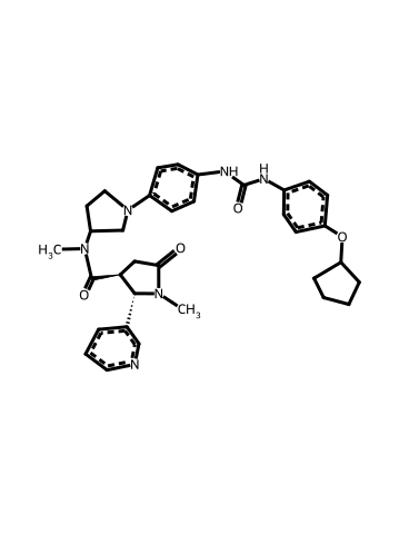 CN(C(=O)[C@H]1CC(=O)N(C)[C@@H]1c1cccnc1)C1CCN(c2ccc(NC(=O)Nc3ccc(OC4CCCC4)cc3)cc2)C1